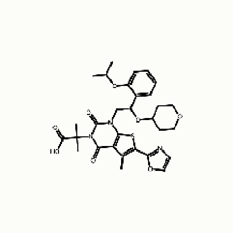 Cc1c(-c2ncco2)sc2c1c(=O)n(C(C)(C)C(=O)O)c(=O)n2C[C@H](OC1CCOCC1)c1ccccc1OC(C)C